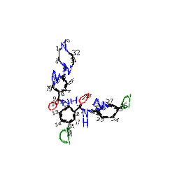 CN1CCN(c2ccc(C(=O)Nc3ccc(Cl)cc3C(=O)Nc3ccc(Cl)cn3)cn2)CC1